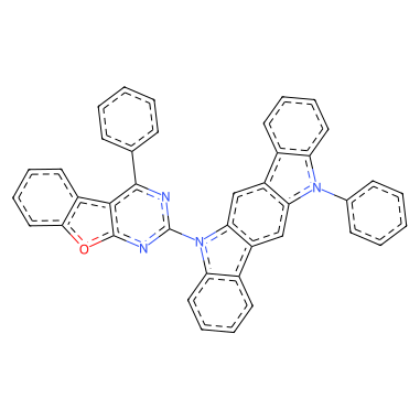 c1ccc(-c2nc(-n3c4ccccc4c4cc5c(cc43)c3ccccc3n5-c3ccccc3)nc3oc4ccccc4c23)cc1